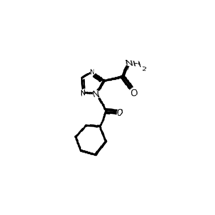 NC(=O)c1ncnn1C(=O)C1CCCCC1